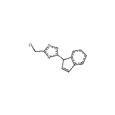 ClCc1nc(C2C=Cc3ccccc32)no1